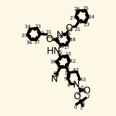 CC(C)(C)OC(=O)N1CC=C(c2ccc(Nc3ccc(OCc4ccccc4)nc3OCc3ccccc3)cc2C#N)CC1